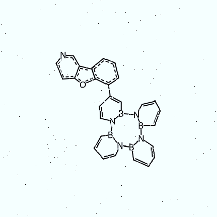 C1=CB2N(C=C1)B1C=CC=CN1B1C=C(c3cccc4c3oc3ccncc34)C=CN1B1C=CC=CN21